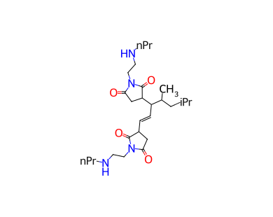 CCCNCCN1C(=O)CC(C=CC(C(C)CC(C)C)C2CC(=O)N(CCNCCC)C2=O)C1=O